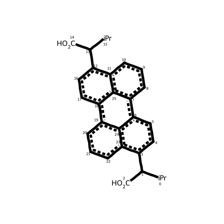 CC(C)C(C(=O)O)c1ccc2c3cccc4c(C(C(=O)O)C(C)C)ccc(c5cccc1c52)c43